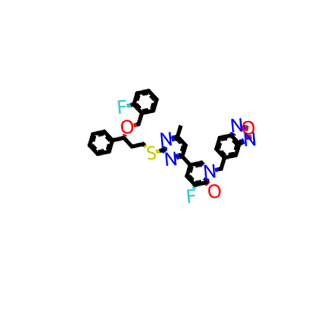 Cc1cc(-c2cc(F)c(=O)n(Cc3ccc4nonc4c3)c2)nc(SCCC(OCc2ccccc2F)c2ccccc2)n1